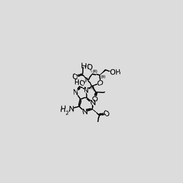 CC(=O)c1nc(N)c2ncn([C@]3(C(C)=O)O[C@H](CO)[C@@H](O)[C@]3(O)C(C)=O)c2n1